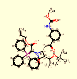 C=CCOC(=O)C(N1C(=O)[C@H](C(C)O[Si](C)(C)C(C)(C)C)[C@H]1CC(=O)c1cccc(NC(=O)OC(C)(C)C)c1)=P(c1ccccc1)(c1ccccc1)c1ccccc1